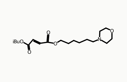 CC(C)COC(=O)/C=C/C(=O)OCCCCCCN1CCOCC1